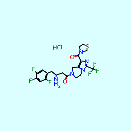 Cl.NC(CC(=O)N1CCn2c(C(F)(F)F)nc(C(=O)N3CCSC3)c2C1)Cc1cc(F)c(F)cc1F